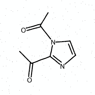 CC(=O)c1nccn1C(C)=O